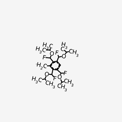 [CH2]c1c(C(F)OC(C)C)c(C(F)OC(C)C)cc(C(F)OC(C)C)c1C(F)OC(C)C